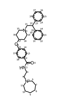 O=C(NCCN1CCCCCC1)c1ccc(OC2CCN(CC(c3ccccc3)c3ccccc3)CC2)cc1